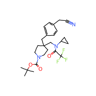 CC(C)(C)OC(=O)N1CCC(Cc2ccc(CC#N)cc2)(CN(C(=O)C(F)(F)F)C2CC2)CC1